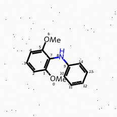 COc1cccc(OC)c1Nc1ccccc1